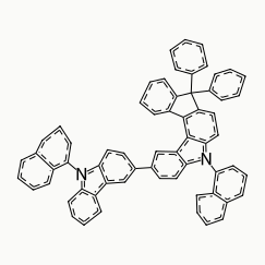 c1ccc(C2(c3ccccc3)c3ccccc3-c3c2ccc2c3c3cc(-c4ccc5c(c4)c4ccccc4n5-c4cccc5ccccc45)ccc3n2-c2cccc3ccccc23)cc1